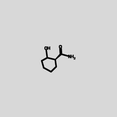 NC(=O)[C@H]1CCCCC1O